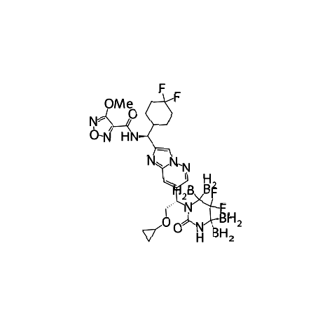 BC1(B)NC(=O)N([C@H](COC2CC2)c2cnn3cc([C@@H](NC(=O)c4nonc4OC)C4CCC(F)(F)CC4)nc3c2)C(B)(B)C1(F)F